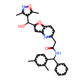 Cc1ccc(C(NC(=O)Cc2ccc3oc(C(O)c4c(C)noc4C)cc3n2)c2ccccc2)c(C)c1